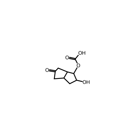 O=C1CC2CC(O)C(OC(=O)O)C2C1